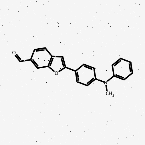 CN(c1ccccc1)c1ccc(-c2cc3ccc(C=O)cc3o2)cc1